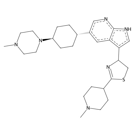 CN1CCC(C2=NC(c3c[nH]c4ncc([C@H]5CC[C@H](N6CCN(C)CC6)CC5)cc34)CS2)CC1